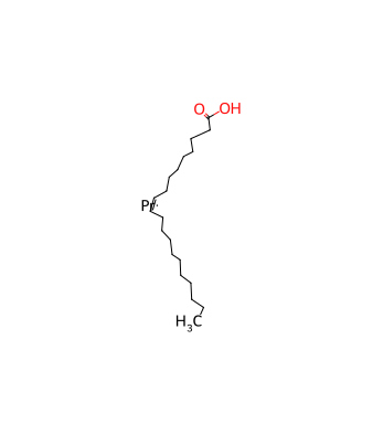 CCCCCCCCCC/C=C\CCCCCCCC(=O)O.[Pr]